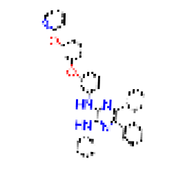 c1ccc(Nc2nc(-c3ccccc3)c(-c3ccccc3)nc2Nc2cccc(Oc3cccc(Oc4ccccn4)c3)c2)cc1